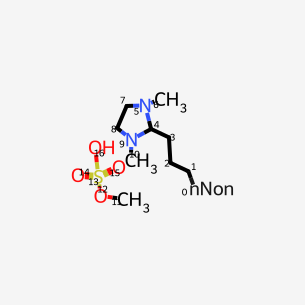 CCCCCCCCCCCCC1N(C)CCN1C.COS(=O)(=O)O